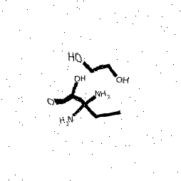 CCC(N)(N)C(=O)O.OCCO